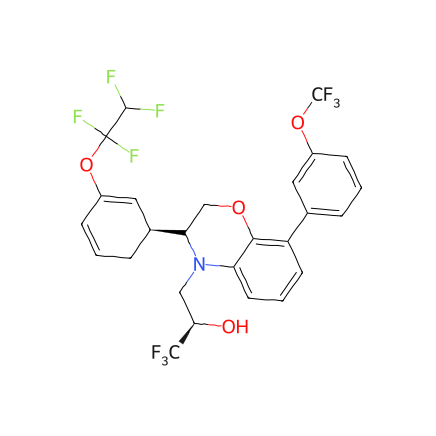 O[C@H](CN1c2cccc(-c3cccc(OC(F)(F)F)c3)c2OCC1[C@@H]1C=C(OC(F)(F)C(F)F)C=CC1)C(F)(F)F